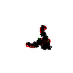 Cc1cc2c(cc1OC(=O)c1ccc(-c3ccc(OCOC4CO4)cc3)cc1F)C1(CC2(C)C)CC(C)(C)c2cc(C)c(OC(=O)c3ccc(-c4ccc(OCOC5CO5)cc4)cc3F)cc21